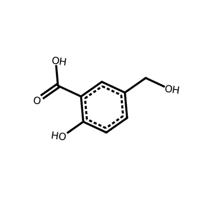 O=C(O)c1cc(CO)ccc1O